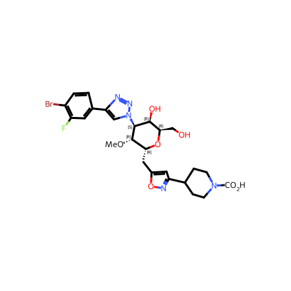 CO[C@@H]1[C@@H](n2cc(-c3ccc(Br)c(F)c3)nn2)[C@@H](O)[C@@H](CO)O[C@@H]1Cc1cc(C2CCN(C(=O)O)CC2)no1